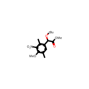 COC(=O)C(OC(C)(C)C)c1cc(C)c(OC)c([N+](=O)[O-])c1C